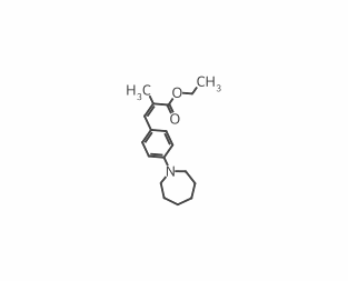 CCOC(=O)C(C)=Cc1ccc(N2CCCCCC2)cc1